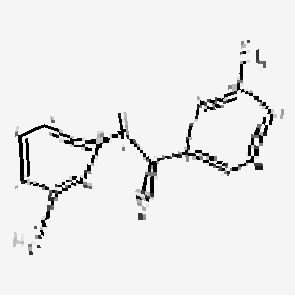 Cc1cccc(NC(=O)c2cccc(C)c2)c1